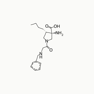 CCCC[C@H]1CN(C(=O)CNCc2ccccc2)C[C@@]1(N)C(=O)O